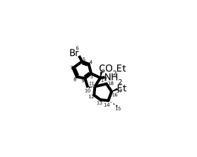 CCOC(=O)[C@]1(N)c2cc(Br)ccc2C[C@]12CC[C@@H](C)[C@H](CC)C2